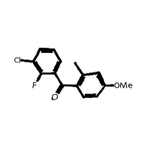 COc1ccc(C(=O)c2cccc(Cl)c2F)c(C)c1